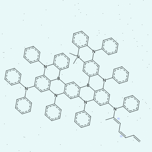 C=C/C=C\C=C(/C)N(c1ccccc1)c1cc2c3c(c1)N(c1ccccc1)c1cc4c(cc1B3c1cc3c(cc1N2c1ccccc1)N(c1ccccc1)c1cc(N(c2ccccc2)c2ccccc2)cc2c1B3c1ccccc1N2c1ccccc1)[Si](C)(C)c1ccccc1N4c1ccccc1